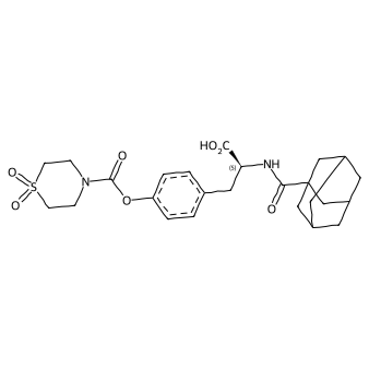 O=C(O)[C@H](Cc1ccc(OC(=O)N2CCS(=O)(=O)CC2)cc1)NC(=O)C12CC3CC(CC(C3)C1)C2